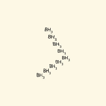 B.B.B.B.B.B.B.B.B